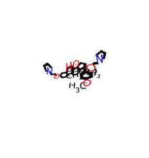 COc1ccc([C@@]2(OCCN3CCCC3)CC[C@]3(O)[C@@H]4CCC5=C[C@@H](OCCN6CCCC6)CC[C@]5(C)[C@H]4CC[C@]23C)cc1